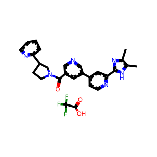 Cc1nc(-c2cc(-c3cncc(C(=O)N4CCC(c5ccccn5)C4)c3)ccn2)[nH]c1C.O=C(O)C(F)(F)F